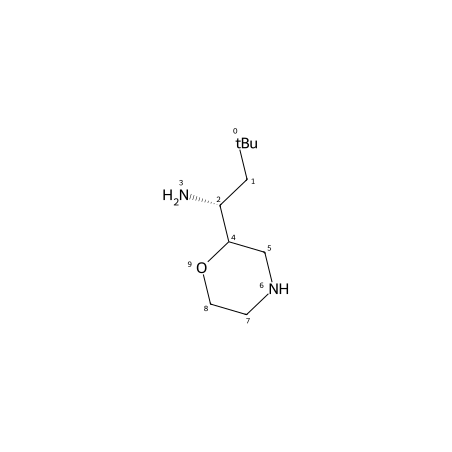 CC(C)(C)C[C@@H](N)C1CNCCO1